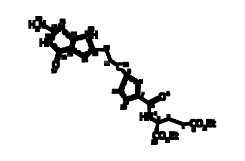 CCOC(=O)CC[C@H](NC(=O)c1cc(CCCc2cc3c(=O)[nH]c(N)nc3[nH]2)cs1)C(=O)OCC